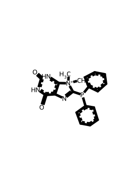 C[N+]1(C)C(P(c2ccccc2)c2ccccc2)=Nc2c1[nH]c(=O)[nH]c2=O